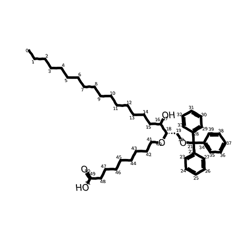 CCCCCCCCCCCCCCCCC(O)[C@H](COC(c1ccccc1)(c1ccccc1)c1ccccc1)OCCCCCCCCC(=O)O